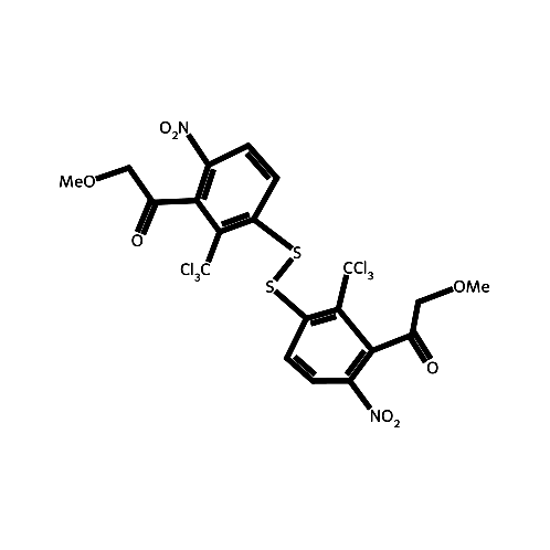 COCC(=O)c1c([N+](=O)[O-])ccc(SSc2ccc([N+](=O)[O-])c(C(=O)COC)c2C(Cl)(Cl)Cl)c1C(Cl)(Cl)Cl